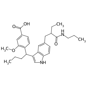 CCCNC(=O)C(CC)Cc1ccc2[nH]cc(C(CCC)c3ccc(C(=O)O)cc3OC)c2c1